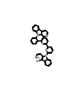 CCc1c(/C=C\N)n(-c2cccc(-c3cccc(-c4ccccc4-n4c5ccccc5c5ccncc54)n3)n2)c2ccccc12